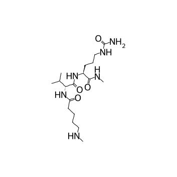 CNCCCCC(=O)N[C@@H](C(=O)N[C@@H](CCCNC(N)=O)C(=O)NC)C(C)C